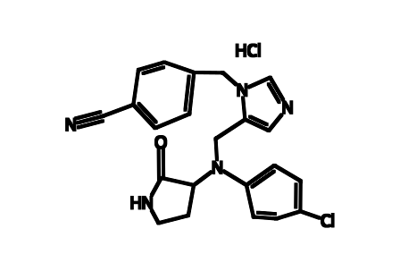 Cl.N#Cc1ccc(Cn2cncc2CN(c2ccc(Cl)cc2)C2CCNC2=O)cc1